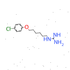 N=C(N)NCCCCCCOc1ccc(Cl)cc1